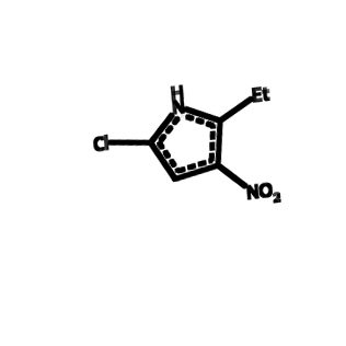 CCc1[nH]c(Cl)cc1[N+](=O)[O-]